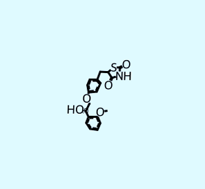 COc1ccccc1[C@H](O)COc1ccc(CC2SC(=O)NC2=O)cc1